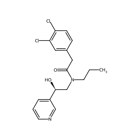 CCCN(C[C@H](O)c1cccnc1)C(=O)Cc1ccc(Cl)c(Cl)c1